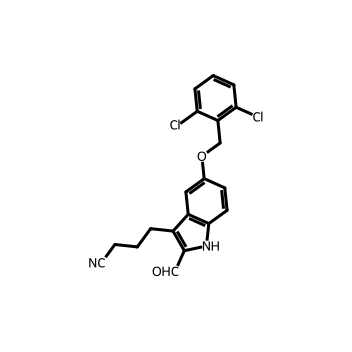 N#CCCCc1c(C=O)[nH]c2ccc(OCc3c(Cl)cccc3Cl)cc12